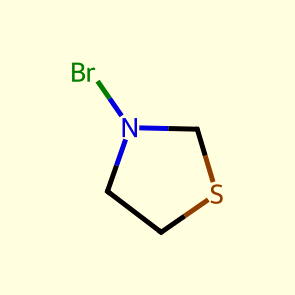 BrN1CCSC1